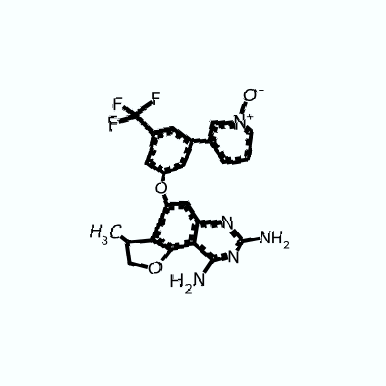 CC1COc2c1c(Oc1cc(-c3ccc[n+]([O-])c3)cc(C(F)(F)F)c1)cc1nc(N)nc(N)c21